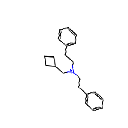 c1ccc(CCN(CCc2ccccc2)CC2CCC2)cc1